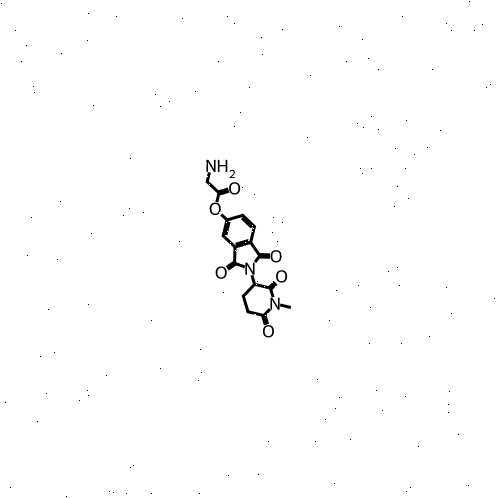 CN1C(=O)CCC(N2C(=O)c3ccc(OC(=O)CN)cc3C2=O)C1=O